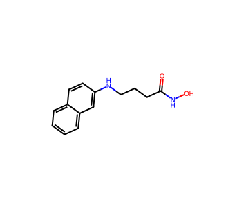 O=C(CCCNc1ccc2ccccc2c1)NO